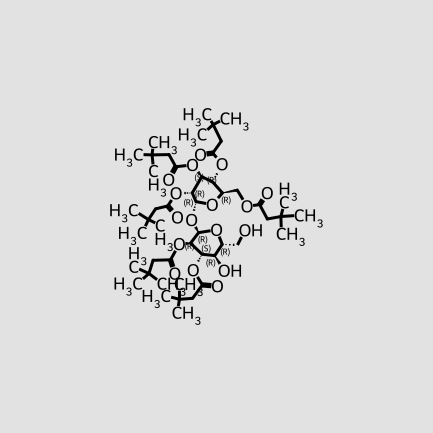 CC(C)(C)CC(=O)OC[C@H]1O[C@H](O[C@H]2O[C@H](CO)[C@@H](O)[C@H](OC(=O)CC(C)(C)C)[C@H]2OC(=O)CC(C)(C)C)[C@H](OC(=O)CC(C)(C)C)[C@@H](OC(=O)CC(C)(C)C)[C@@H]1OC(=O)CC(C)(C)C